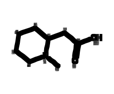 CN1CCCCC1CC(=O)O